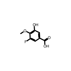 COc1c(O)cc(C(=O)O)cc1F